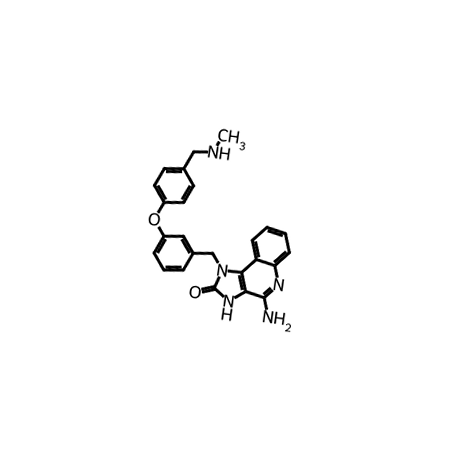 CNCc1ccc(Oc2cccc(Cn3c(=O)[nH]c4c(N)nc5ccccc5c43)c2)cc1